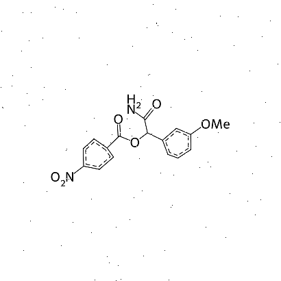 COc1cccc(C(OC(=O)c2ccc([N+](=O)[O-])cc2)C(N)=O)c1